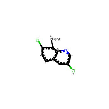 CCCCCc1c(Cl)ccc2cc(Cl)cnc12